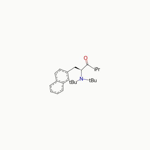 CC(C)C(=O)[C@H](Cc1ccc2ccccc2c1)N(C(C)(C)C)C(C)(C)C